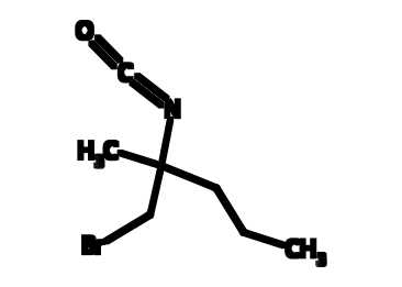 CCCC(C)(CBr)N=C=O